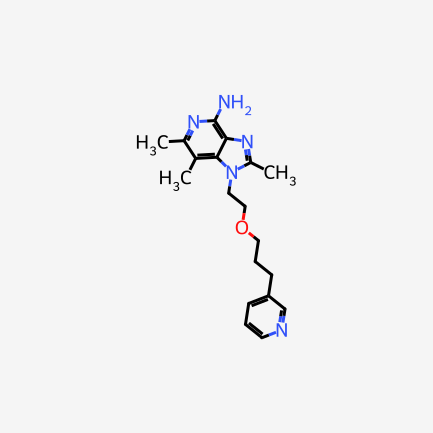 Cc1nc(N)c2nc(C)n(CCOCCCc3cccnc3)c2c1C